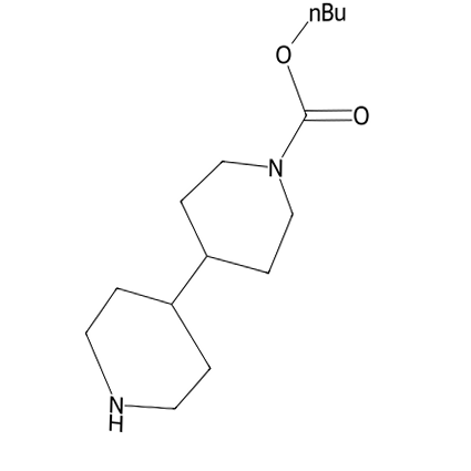 CCCCOC(=O)N1CCC(C2CCNCC2)CC1